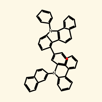 c1ccc(-c2ccccc2N(c2cccc(-c3cccc4c3c3ccc5ccccc5c3n4-c3ccccc3)c2)c2ccc3ccccc3c2)cc1